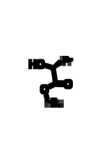 CCCCOC(=O)[C@@H](O)C(C)C